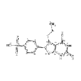 CCCn1c(-c2ccc(S(=O)(=O)O)cc2)nc2[nH]c(=O)[nH]c(=O)c21